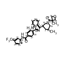 C[C@@H]1C[C@@H](C2=C3C=NC=C[N+]3(N)C(c3ccc(C(=O)Nc4cc(C(F)(F)F)ccn4)cc3)=N2)CN(C(=O)C2(C)COC2)C1